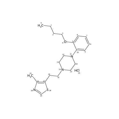 CCCCOc1ccccc1N1CCN(CCc2scnc2C)CC1.Cl